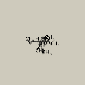 CC/C=C\CC(COC(=O)C1(C)CCN(C)CC1)C(CC)CC(=O)OCCC(CCCCCCCC/C=C\C/C=C\CCCCC)OC(=O)C(CCCCCC)CCCCCCCC